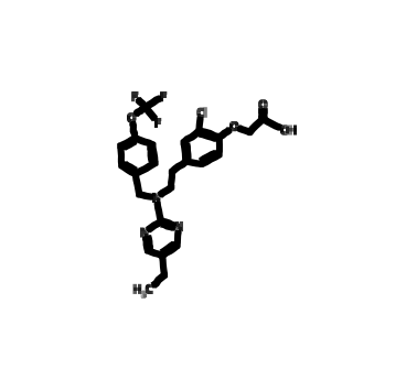 CCc1cnc(N(CCc2ccc(OCC(=O)O)c(Cl)c2)Cc2ccc(OC(F)(F)F)cc2)nc1